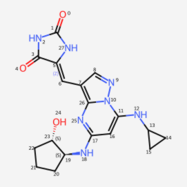 O=C1NC(=O)/C(=C/c2cnn3c(NC4CC4)cc(N[C@H]4CCC[C@@H]4O)nc23)N1